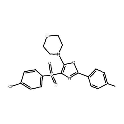 Cc1ccc(-c2nc(S(=O)(=O)c3ccc(Cl)cc3)c(N3CCOCC3)o2)cc1